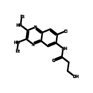 CCNc1nc2cc(Cl)c(NC(=O)CCO)cc2nc1NCC